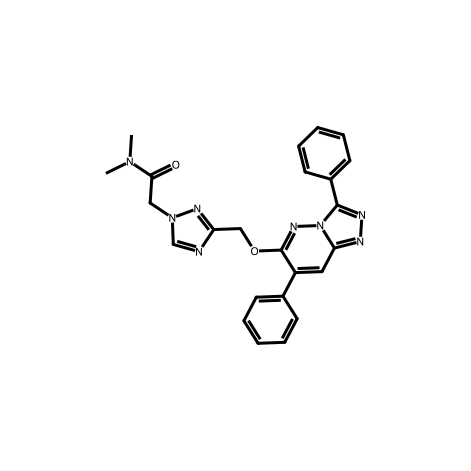 CN(C)C(=O)Cn1cnc(COc2nn3c(-c4ccccc4)nnc3cc2-c2ccccc2)n1